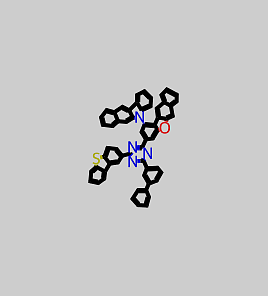 c1ccc(-c2cccc(-c3nc(-c4cc(-n5c6ccccc6c6cc7ccccc7cc65)c5c(c4)oc4cc6ccccc6cc45)nc(-c4ccc5sc6ccccc6c5c4)n3)c2)cc1